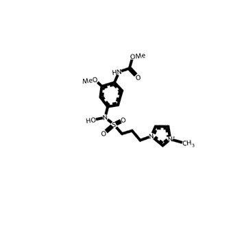 COC(=O)Nc1ccc(N(O)S(=O)(=O)CCCn2cc[n+](C)c2)cc1OC